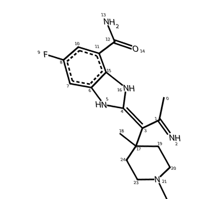 CC(=N)/C(=C1/Nc2cc(F)cc(C(N)=O)c2N1)C1(C)CCN(C)CC1